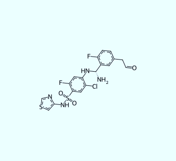 N[C@H](Nc1cc(F)c(S(=O)(=O)Nc2cscn2)cc1Cl)c1cc(CC=O)ccc1F